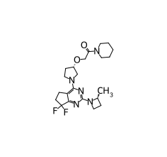 C[C@H]1CCN1c1nc(N2CC[C@H](OCC(=O)N3CCCCC3)C2)c2c(n1)C(F)(F)CC2